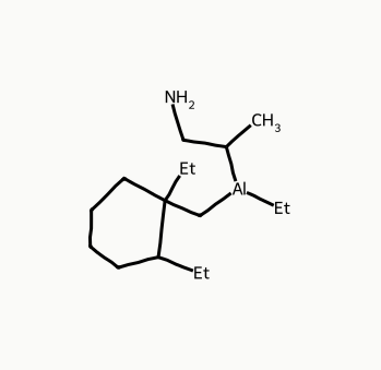 CCC1CCCCC1(CC)[CH2][Al]([CH2]C)[CH](C)CN